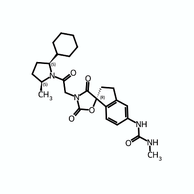 CNC(=O)Nc1ccc2c(c1)CC[C@@]21OC(=O)N(CC(=O)N2[C@@H](C)CC[C@H]2C2CCCCC2)C1=O